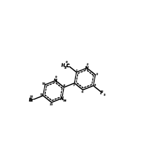 Cc1ncc(F)cc1-c1ncc(Br)cn1